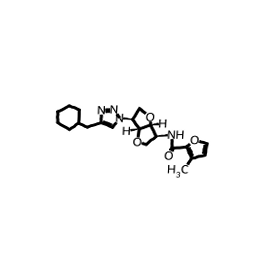 Cc1ccoc1C(=O)N[C@H]1CO[C@H]2[C@@H]1OC[C@@H]2n1cc(CC2CCCCC2)nn1